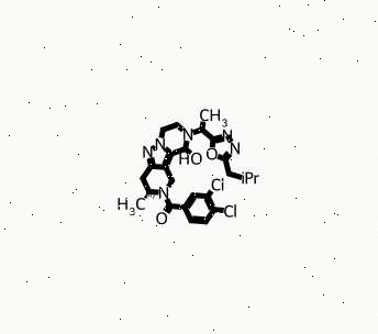 CC(C)Cc1nnc(C(C)N2CCn3nc4c(c3C2O)CN(C(=O)c2ccc(Cl)c(Cl)c2)[C@H](C)C4)o1